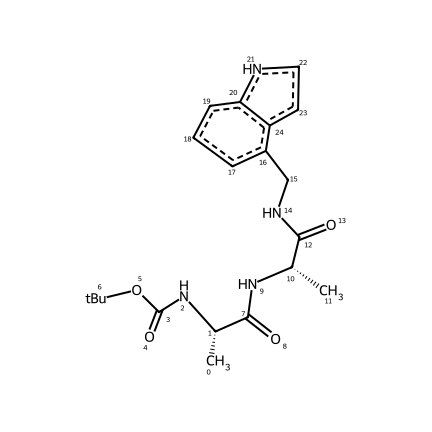 C[C@H](NC(=O)OC(C)(C)C)C(=O)N[C@@H](C)C(=O)NCc1cccc2[nH]ccc12